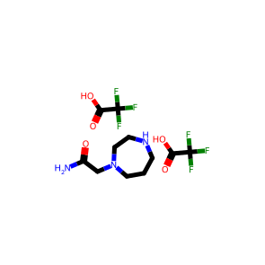 NC(=O)CN1CCCNCC1.O=C(O)C(F)(F)F.O=C(O)C(F)(F)F